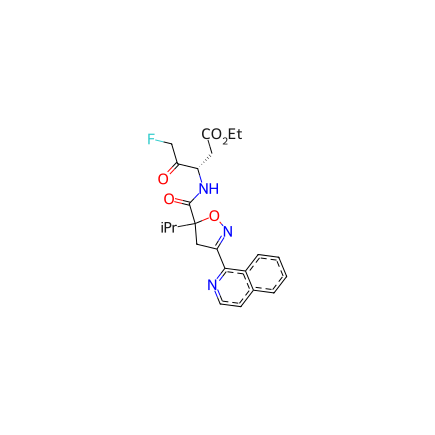 CCOC(=O)C[C@H](NC(=O)C1(C(C)C)CC(c2nccc3ccccc23)=NO1)C(=O)CF